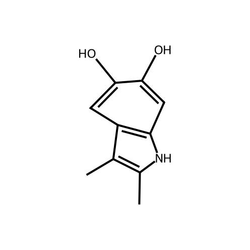 Cc1[nH]c2cc(O)c(O)cc2c1C